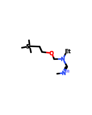 CCN(/C=N\C)COCC[Si](C)(C)C